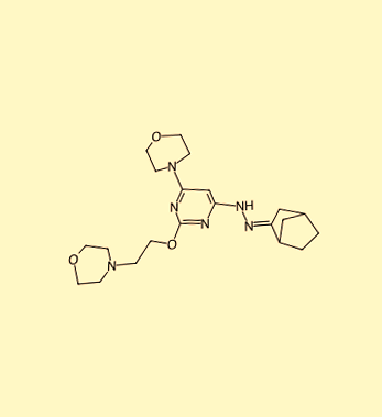 c1c(N/N=C2\CC3CCC2C3)nc(OCCN2CCOCC2)nc1N1CCOCC1